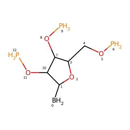 BC1OC(COP)C(OP)C1OP